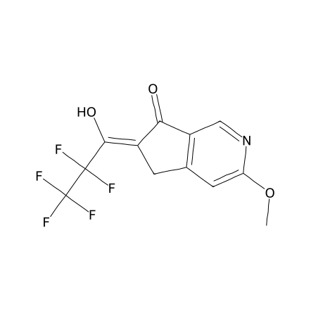 COc1cc2c(cn1)C(=O)/C(=C(\O)C(F)(F)C(F)(F)F)C2